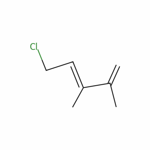 C=C(C)/C(C)=C/CCl